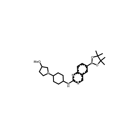 COC1CCN(C2CCC(Nc3ncc4cc(B5OC(C)(C)C(C)(C)O5)ccc4n3)CC2)C1